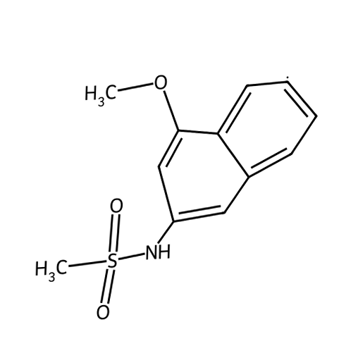 COc1cc(NS(C)(=O)=O)cc2cc[c]cc12